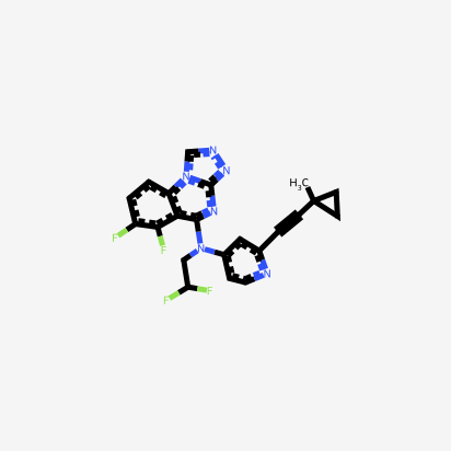 CC1(C#Cc2cc(N(CC(F)F)c3nc4nncn4c4ccc(F)c(F)c34)ccn2)CC1